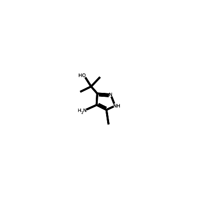 Cc1[nH]nc(C(C)(C)O)c1N